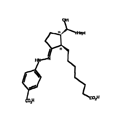 CCCCCCCC(O)[C@H]1CCC(=NNc2ccc(C(=O)O)cc2)[C@@H]1CCCCCCC(=O)O